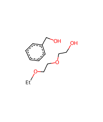 CCOCCOCCO.OCc1ccccc1